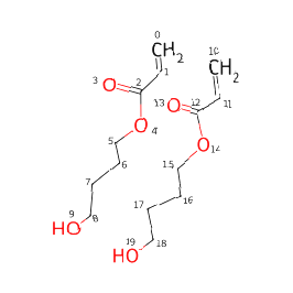 C=CC(=O)OCCCCO.C=CC(=O)OCCCCO